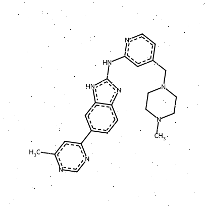 Cc1cc(-c2ccc3nc(Nc4cc(CN5CCN(C)CC5)ccn4)[nH]c3c2)ncn1